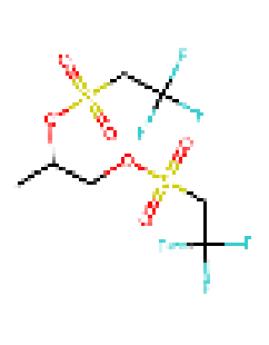 CC(COS(=O)(=O)CC(F)(F)F)OS(=O)(=O)CC(F)(F)F